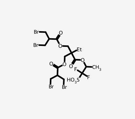 CCC(COC(=O)C(CBr)CBr)(COC(=O)C(CBr)CBr)C(=O)OC(C)C(F)(F)S(=O)(=O)O